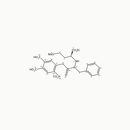 CCOC(=O)[C@H](CCSC)NN(Cc1ccccc1)C(=O)Cc1cc(C(=O)O)c(C(=O)O)cc1C(=O)O